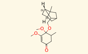 COC1=CC(=O)CC(C)C1(OC)OCC1C2C[C@H]3C[C@@H]1C3(C)C2